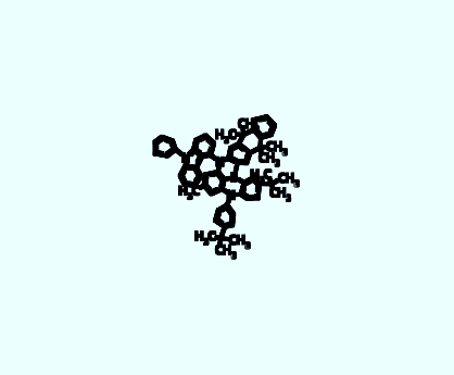 Cc1cc2c3c(c1)N(c1cccc4c1c1ccccc1n4-c1ccccc1)c1cc4c(cc1B3c1cc(C(C)(C)C)ccc1N2c1ccc(C(C)(C)C)cc1)C(C)(C)c1ccccc1C4(C)C